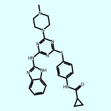 CN1CCN(c2nc(Nc3nc4ccccc4[nH]3)nc(Sc3ccc(NC(=O)C4CC4)cc3)n2)CC1